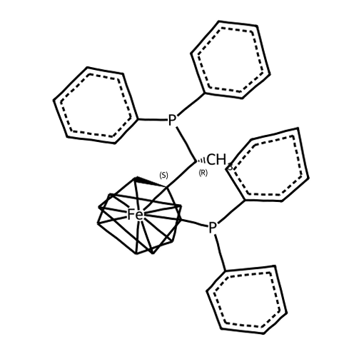 C[C@@H](P(c1ccccc1)c1ccccc1)[C@]12[CH]3[CH]4[CH]5[C]1(P(c1ccccc1)c1ccccc1)[Fe]45321678[CH]2[CH]1[CH]6[CH]7[CH]28